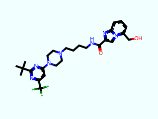 CC(C)(C)c1nc(N2CCN(CCCCNC(=O)c3cn4c(CO)cccc4n3)CC2)cc(C(F)(F)F)n1